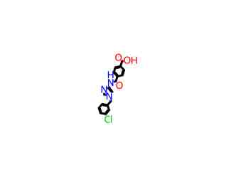 O=C(O)c1ccc(C(=O)Nc2cn(Cc3cccc(Cl)c3)cn2)cc1